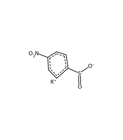 O=[N+]([O-])c1ccc(S(=O)[O-])cc1.[K+]